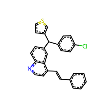 Clc1ccc(C(c2ccsc2)c2ccc3nccc(C=Cc4ccccc4)c3c2)cc1